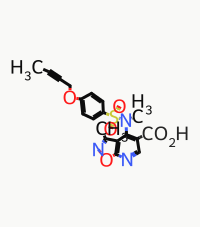 CC#CCOc1ccc(S(=O)(=O)N(C)c2c(C(=O)O)cnc3onc(C)c23)cc1